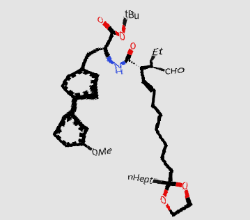 CCCCCCCC1(CCCCCC/C=C/[C@H](C(=O)N[C@@H](Cc2ccc(-c3cccc(OC)c3)cc2)C(=O)OC(C)(C)C)[C@H](C=O)CC)OCCO1